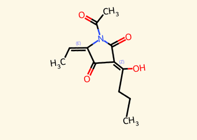 C/C=C1\C(=O)/C(=C(/O)CCC)C(=O)N1C(C)=O